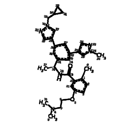 Cc1ccc(OCCN(C)C)cc1C(=O)N[C@H](C)c1cc(-c2cnn(C)c2)cc(-c2cnn(CC3CC3)c2)c1